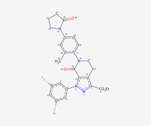 CCOC(=O)c1nn(-c2cc(F)cc(F)c2)c2c1CCN(c1ccc(N3CCCC3=O)cc1C)C2=O